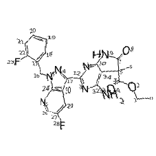 CCOC(=O)C1(C)C(=O)Nc2nc(-c3nn(Cc4ccccc4F)c4ncc(F)cc34)nc(N)c21